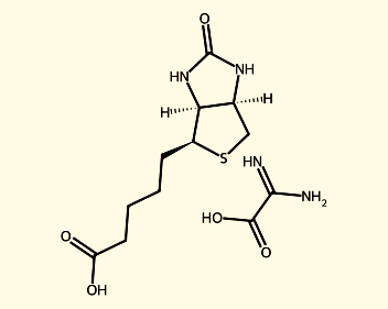 N=C(N)C(=O)O.O=C(O)CCCC[C@@H]1SC[C@@H]2NC(=O)N[C@@H]21